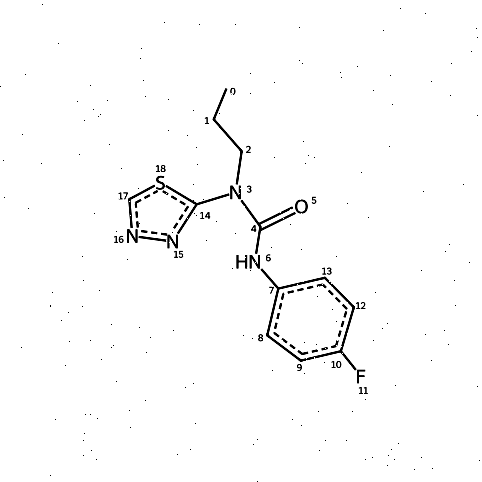 CCCN(C(=O)Nc1ccc(F)cc1)c1nncs1